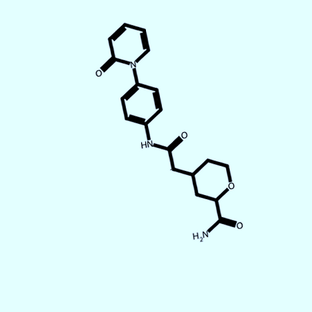 NC(=O)C1CC([CH]C(=O)Nc2ccc(-n3ccccc3=O)cc2)CCO1